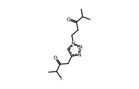 CC(C)C(=O)CCn1cc(CC(=O)C(C)I)nn1